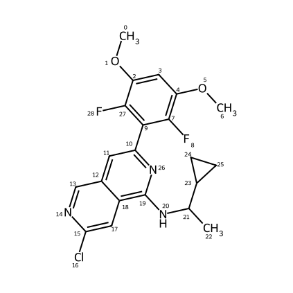 COc1cc(OC)c(F)c(-c2cc3cnc(Cl)cc3c(NC(C)C3CC3)n2)c1F